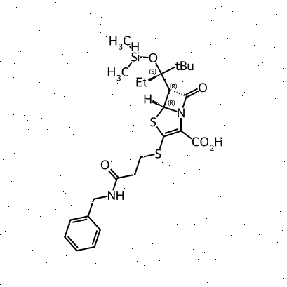 CC[C@](O[SiH](C)C)([C@@H]1C(=O)N2C(C(=O)O)=C(SCCC(=O)NCc3ccccc3)S[C@H]12)C(C)(C)C